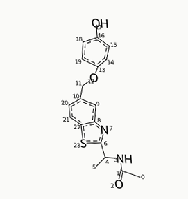 CC(=O)NC(C)c1nc2cc(COc3ccc(O)cc3)ccc2s1